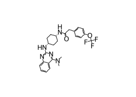 CN(C)c1nc(N[C@H]2CC[C@@H](NC(=O)Cc3ccc(OC(F)(F)F)cc3)CC2)nc2ccccc12